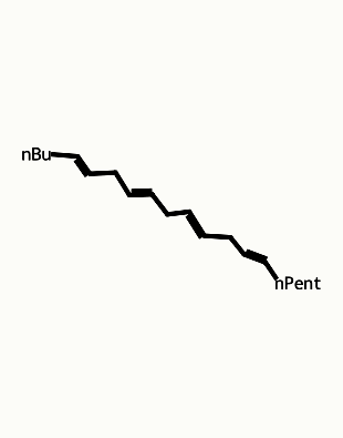 [CH2][CH]CCC=CCC=CCC=CCC=CCCCCC